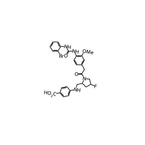 COc1cc(CC(=O)N2CC(F)CC2CNc2ccc(C(=O)O)cc2)ccc1NC(=O)Nc1ccccc1Br